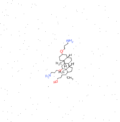 C[C@H](CCCO)C1CC[C@H]2C3CC[C@H]4C[C@H](OCCCN)CCC4(C)[C@H]3C[C@H](OCCCN)C12C